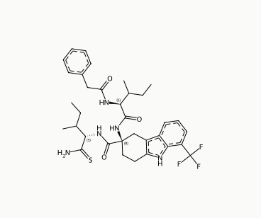 CCC(C)[C@H](NC(=O)Cc1ccccc1)C(=O)N[C@]1(C(=O)N[C@H](C(N)=S)C(C)CC)CCc2[nH]c3c(C(F)(F)F)cccc3c2C1